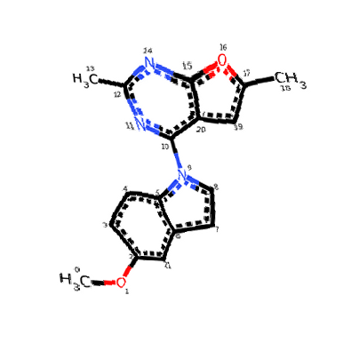 COc1ccc2c(ccn2-c2nc(C)nc3oc(C)cc23)c1